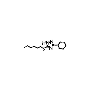 CCCCCCSc1nc(C2CCCCC2)n[nH]1